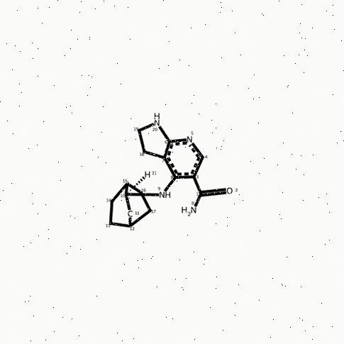 NC(=O)c1cnc2c(c1N[C@H]1CC3CCC1CC3)CCN2